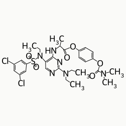 CCN(CC)c1ncc(N(CC)S(=O)(=O)c2cc(Cl)cc(Cl)c2)c(NC(C)C(=O)Oc2ccc(OC(=O)N(C)C)cc2)n1